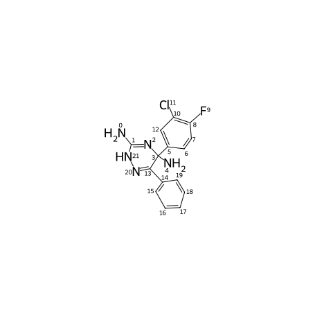 NC1=NC(N)(c2ccc(F)c(Cl)c2)C(c2ccccc2)=NN1